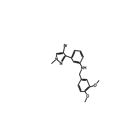 COc1ccc(CNc2cccc(-c3nn(C)cc3Br)c2)cc1OC